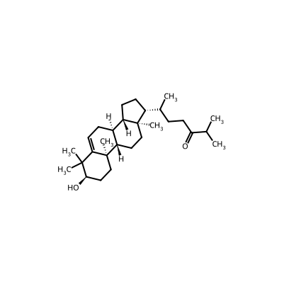 CC(C)C(=O)CCC(C)[C@H]1CC[C@H]2[C@@H]3CC=C4C(C)(C)[C@H](O)CC[C@]4(C)[C@H]3CC[C@]12C